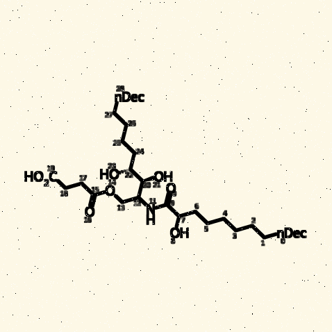 CCCCCCCCCCCCCCCCC(O)C(=O)NC(COC(=O)CCC(=O)O)[C@H](O)[C@H](O)CCCCCCCCCCCCCC